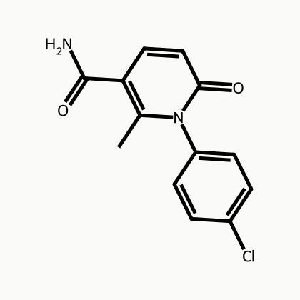 Cc1c(C(N)=O)ccc(=O)n1-c1ccc(Cl)cc1